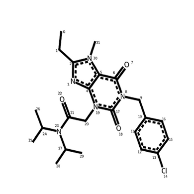 CCc1nc2c(c(=O)n(Cc3ccc(Cl)cc3)c(=O)n2CC(=O)N(C(C)C)C(C)C)n1C